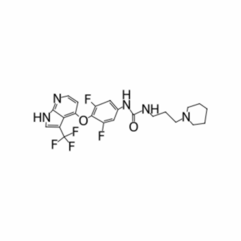 O=C(NCCCN1CCCCC1)Nc1cc(F)c(Oc2ccnc3[nH]cc(C(F)(F)F)c23)c(F)c1